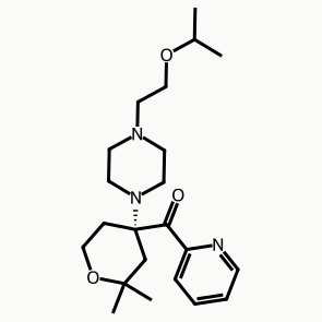 CC(C)OCCN1CCN([C@@]2(C(=O)c3ccccn3)CCOC(C)(C)C2)CC1